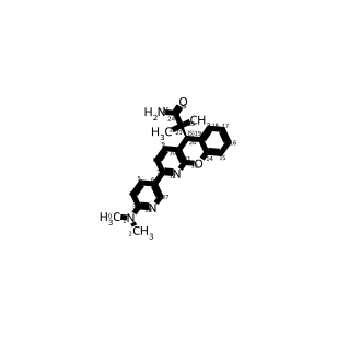 CN(C)c1ccc(-c2ccc3c(n2)Oc2ccccc2[C@@H]3C(C)(C)C(N)=O)cn1